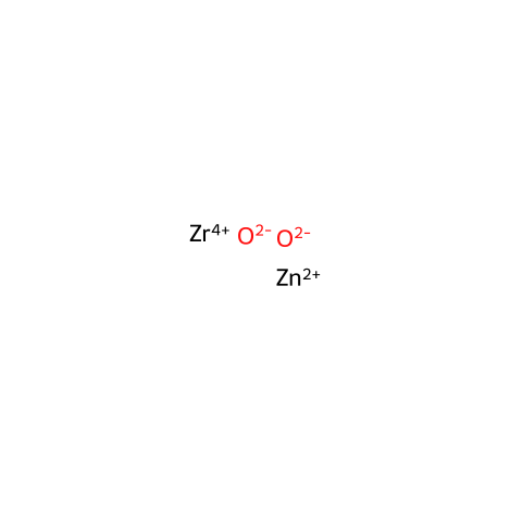 [O-2].[O-2].[Zn+2].[Zr+4]